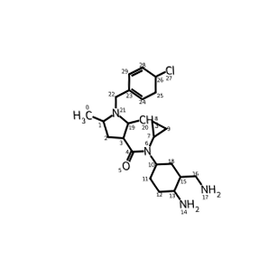 CC1CC(C(=O)N(C2CC2)C2CCC(N)C(CN)C2)C(C)N1CC1=CCC(Cl)C=C1